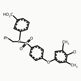 Cc1cc(Oc2ccc(S(=O)(=O)N(CC(C)C)c3cccc(C(=O)O)c3)cc2)cc(C)c1Cl